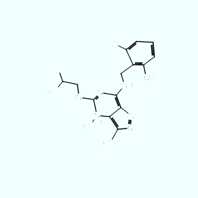 CC(O)CNc1nc(NCc2c(N)cccc2Cl)c2nnc(C(C)C)c-2n1C(C)C